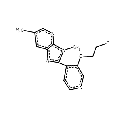 Cc1cnc2c(c1)nc(-c1ccncc1OCCF)n2C